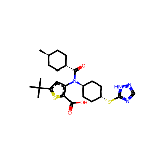 CC(C)(C)c1cc(N(C(=O)[C@H]2CC[C@H](C)CC2)[C@H]2CC[C@H](Sc3ncn[nH]3)CC2)c(C(=O)O)s1